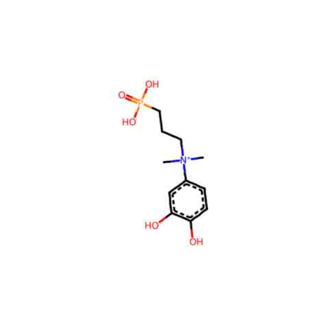 C[N+](C)(CCCP(=O)(O)O)c1ccc(O)c(O)c1